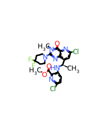 COC(=O)c1nc(Cl)ccc1N[C@H](C)c1cc(Cl)nc2c(=O)n(C)c(N3CCC(F)(F)CC3)nc12